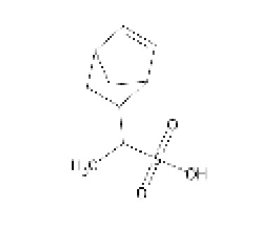 CC(C1CC2C=CC1C2)S(=O)(=O)O